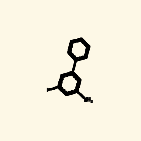 Bc1cc(I)cc(-c2ccccc2)c1